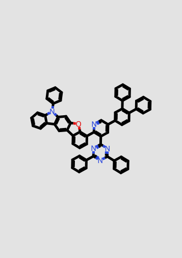 c1ccc(-c2nc(-c3ccccc3)nc(-c3cc(-c4ccc(-c5ccccc5)c(-c5ccccc5)c4)cnc3-c3cccc4c3oc3cc5c(cc34)c3ccccc3n5-c3ccccc3)n2)cc1